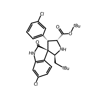 CC(C)(C)C[C@@H]1N[C@@H](C(=O)OC(C)(C)C)[C@@H](c2cccc(Cl)c2)[C@]12C(=O)Nc1cc(Cl)ccc12